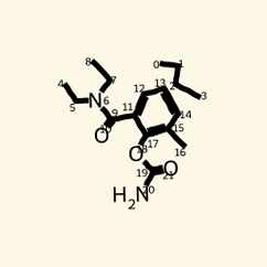 CCCC.CCN(CC)C(=O)c1cccc(C)c1OC(N)=O